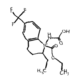 CCOC(=O)[N+]1(NC(=O)O)c2ccc(C(F)(F)F)cc2CCC1CC